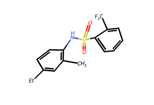 CCc1ccc(NS(=O)(=O)c2ccccc2C(F)(F)F)c(C)c1